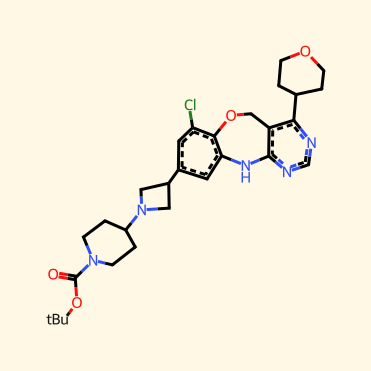 CC(C)(C)OC(=O)N1CCC(N2CC(c3cc(Cl)c4c(c3)Nc3ncnc(C5CCOCC5)c3CO4)C2)CC1